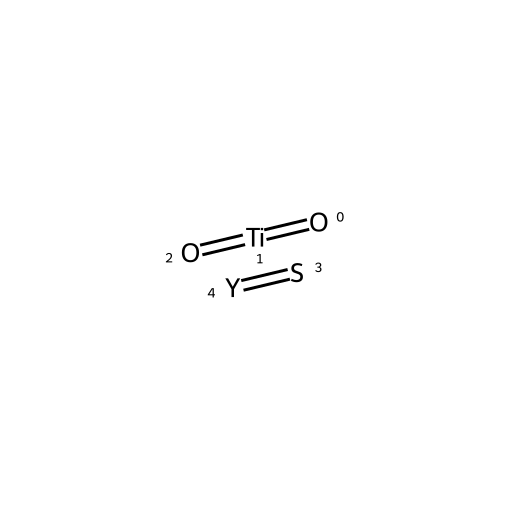 [O]=[Ti]=[O].[S]=[Y]